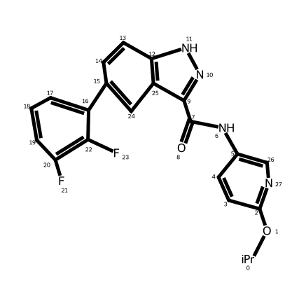 CC(C)Oc1ccc(NC(=O)c2n[nH]c3ccc(-c4cccc(F)c4F)cc23)cn1